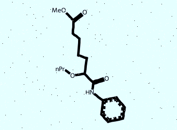 CCCOC(CCCCC(=O)OC)C(=O)Nc1ccccc1